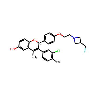 CC1=C(c2ccc(C#N)c(Cl)c2)[C@H](c2ccc(OCCN3CC(CF)C3)cc2)Oc2ccc(O)cc21